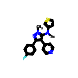 CC(=O)N(c1ccsc1)c1c(-c2ccncc2)c(-c2ccc(F)cc2)nn1C